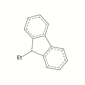 CCC1c2[c]cccc2-c2ccccc21